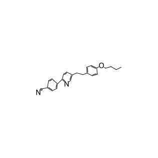 CCCCOc1ccc(CCc2ccc(-c3ccc(C#N)cc3)nc2)cc1